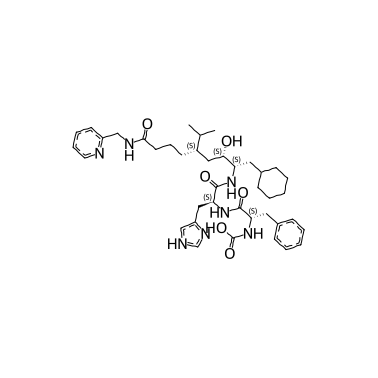 CC(C)[C@@H](CCCC(=O)NCc1ccccn1)C[C@H](O)[C@H](CC1CCCCC1)NC(=O)[C@H](Cc1c[nH]cn1)NC(=O)[C@H](Cc1ccccc1)NC(=O)O